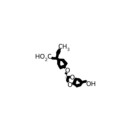 CC#CC(CC(=O)O)c1ccc(OC[C@H]2COc3ccc(CO)cc3O2)cc1